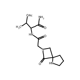 CC(=O)OC(C)C(NC(=O)CN1CC2(CCCN2)C1=O)C(N)=O